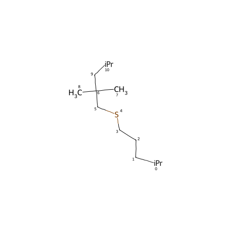 CC(C)CCCSCC(C)(C)CC(C)C